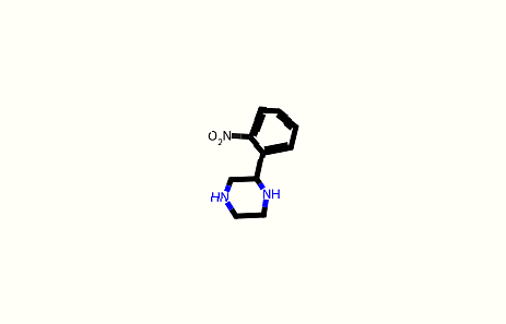 O=[N+]([O-])c1ccccc1C1CNCCN1